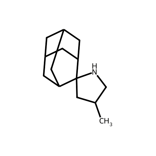 CC1CNC2(C1)C1CC3CC(C1)CC2C3